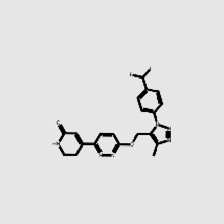 Cc1nnn(-c2ccc(C(F)F)cc2)c1COc1ccc(C2=CC(=O)NCC2)nn1